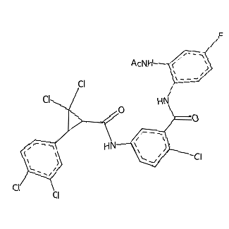 CC(=O)Nc1cc(F)ccc1NC(=O)c1cc(NC(=O)C2C(c3ccc(Cl)c(Cl)c3)C2(Cl)Cl)ccc1Cl